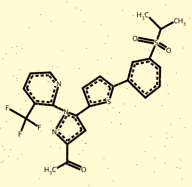 CC(=O)c1cc(-c2ccc(-c3cccc(S(=O)(=O)C(C)C)c3)s2)n(-c2ncccc2C(F)(F)F)n1